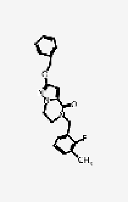 Cc1cccc(CN2CCn3nc(OCc4ccccc4)cc3C2=O)c1F